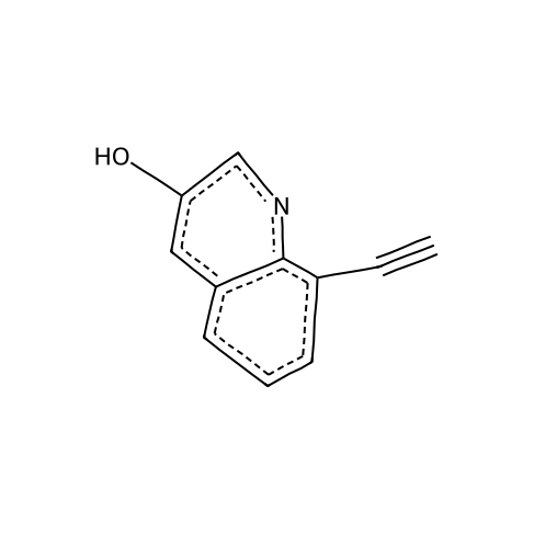 C#Cc1cccc2cc(O)cnc12